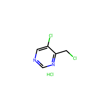 Cl.ClCc1ncncc1Cl